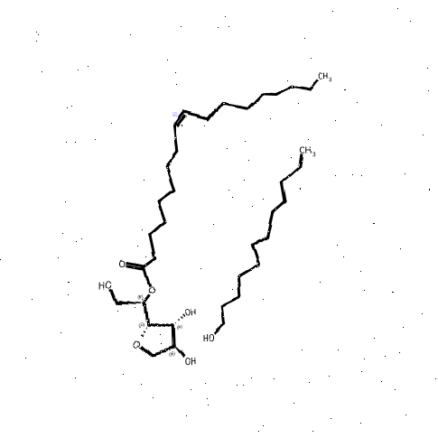 CCCCCCCC/C=C\CCCCCCCC(=O)O[C@H](CO)[C@H]1OC[C@H](O)[C@H]1O.CCCCCCCCCCCCO